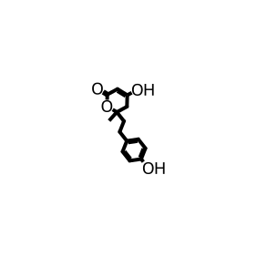 CC1(CCc2ccc(O)cc2)CC(O)=CC(=O)O1